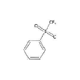 O=S(=O)(c1cc[c]cc1)C(F)(F)F